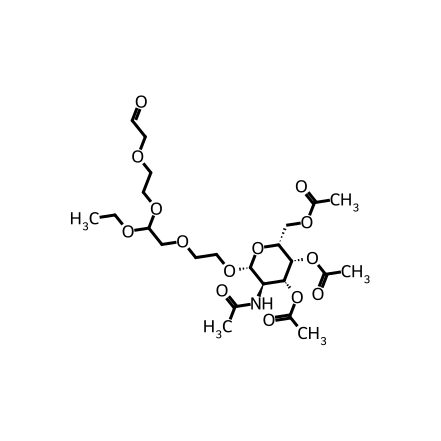 CCOC(COCCO[C@@H]1O[C@H](COC(C)=O)[C@H](OC(C)=O)[C@H](OC(C)=O)[C@H]1NC(C)=O)OCCOCC=O